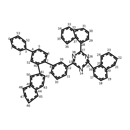 c1ccc(-c2ccc(-c3cccc(-c4nc(-c5cccc6ccccc56)nc(-c5cccc6ccccc56)n4)c3)c(-c3ccc4ccccc4c3)c2)cc1